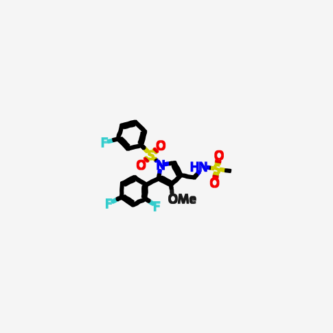 COc1c(CNS(C)(=O)=O)cn(S(=O)(=O)c2cccc(F)c2)c1-c1ccc(F)cc1F